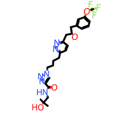 CC(C)(O)CNC(=O)c1cn(CCCCc2ccc(CC(=O)Cc3cccc(OC(F)(F)F)c3)nn2)nn1